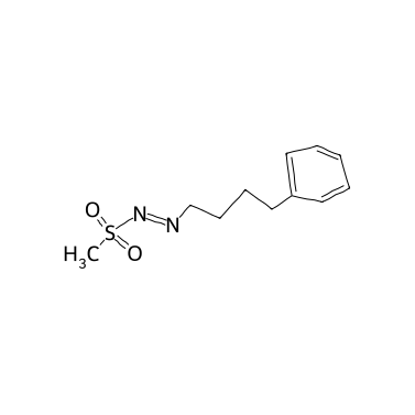 CS(=O)(=O)N=NCCCCc1ccccc1